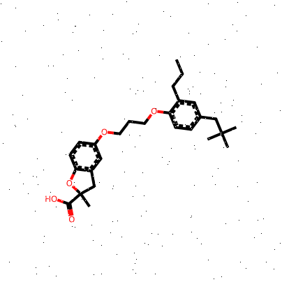 CCCc1cc(CC(C)(C)C)ccc1OCCCOc1ccc2c(c1)CC(C)(C(=O)O)O2